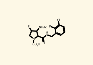 CC(=O)NC1C(F)CN(C(=O)O)C1C(=O)NCc1cccc(Cl)c1F